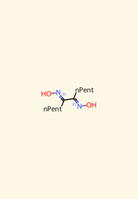 CCCCCC(=N\O)/C(CCCCC)=N/O